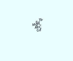 [AlH3].[Eu].[Gd].[MgH2].[Tb]